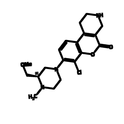 COC[C@H]1CN(c2ccc3c4c(c(=O)oc3c2Cl)CNCC4)CCN1C